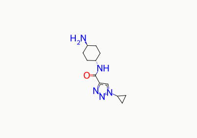 N[C@H]1CC[C@H](NC(=O)c2cn(C3CC3)nn2)CC1